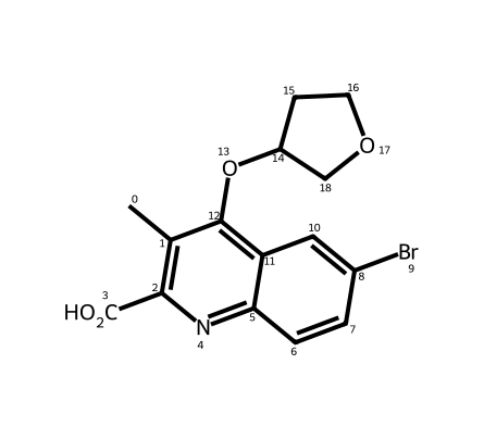 Cc1c(C(=O)O)nc2ccc(Br)cc2c1OC1CCOC1